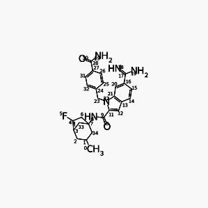 CC1CC2=C(F)CC(NC(=O)c3cc4ccc(C(=N)N)cc4n3Cc3ccc(C(N)=O)cc3)(C2)C1